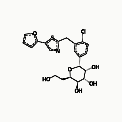 OCC[C@H]1O[C@H](c2ccc(Cl)c(Cc3ncc(-c4ccco4)s3)c2)[C@H](O)[C@H](O)[C@H]1O